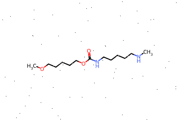 CNCCCCCNC(=O)OCCCCCOC